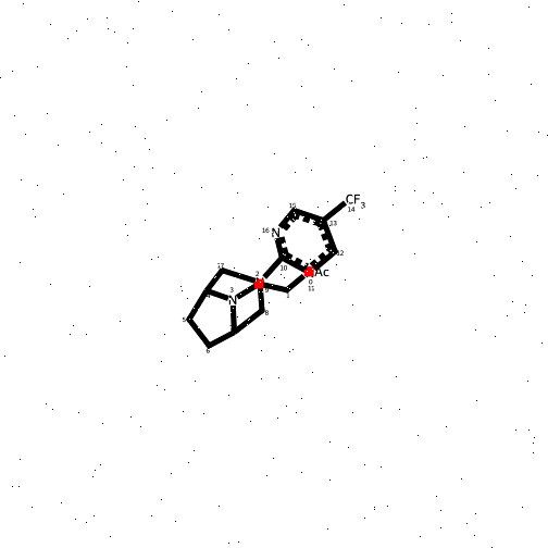 CC(=O)OCCN1C2CCC1CN(c1ncc(C(F)(F)F)cn1)C2